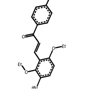 CCOc1ccc(C(C)(C)C)c(OCC)c1C=CC(=O)c1ccc(N)cc1